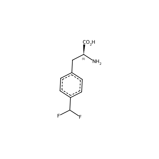 N[C@@H](Cc1ccc(C(F)F)cc1)C(=O)O